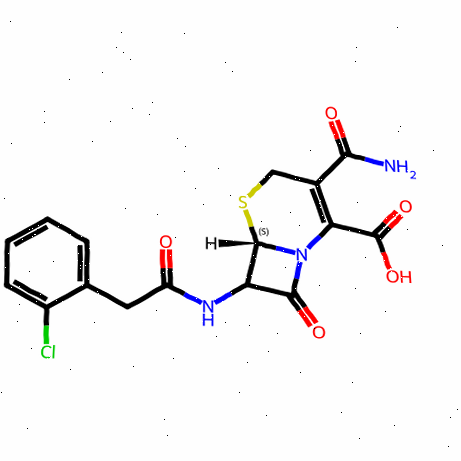 NC(=O)C1=C(C(=O)O)N2C(=O)C(NC(=O)Cc3ccccc3Cl)[C@@H]2SC1